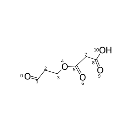 O=CCCOC(=O)CC(=O)O